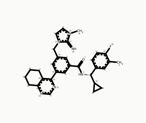 Cc1cc([C@@H](NC(=O)c2cc(Cn3ccn(C)c3=N)cc(-c3ncnc4c3CCCC4)c2)C2CC2)ccc1F